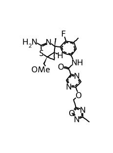 COC[C@]12C[C@H]1[C@@](C)(c1cc(NC(=O)c3cnc(OCc4nc(C)no4)cn3)cc(C)c1F)N=C(N)S2